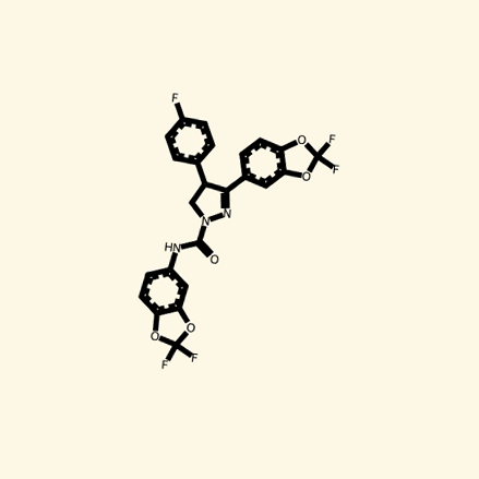 O=C(Nc1ccc2c(c1)OC(F)(F)O2)N1CC(c2ccc(F)cc2)C(c2ccc3c(c2)OC(F)(F)O3)=N1